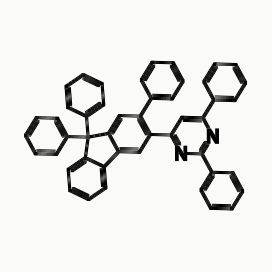 c1ccc(-c2cc(-c3cc4c(cc3-c3ccccc3)C(c3ccccc3)(c3ccccc3)c3ccccc3-4)nc(-c3ccccc3)n2)cc1